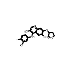 N#Cc1cnc2cc(OC3CCOC3)c([N+](=O)[O-])cc2c1Nc1ccc(F)c(Cl)c1